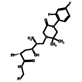 CC(C)CNC(=O)[C@@H](C[C@H](O)[C@@H](N)CN1CC(=O)N(c2ccc(F)cc2F)CC1(C)C)C(C)C